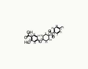 Cc1ccc(S(=O)(=O)C2CCC(Oc3ccc(C(=O)O)c(O)c3)CC2)cc1